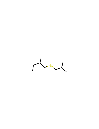 CCC(C)CSCC(C)C